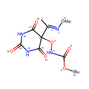 CO/N=C(\C)C1(ONC(=O)OC(C)(C)C)C(=O)NC(=O)NC1=O